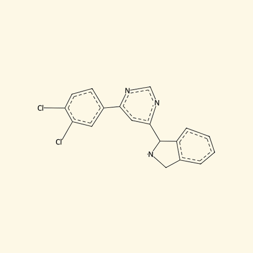 Clc1ccc(-c2cc(C3[N]Cc4ccccc43)ncn2)cc1Cl